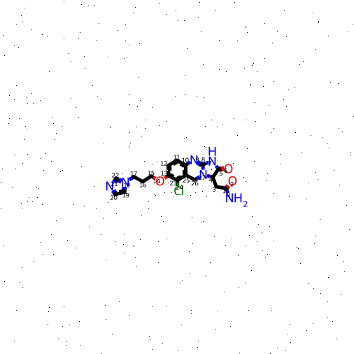 NC(=O)CC1C(=O)NC2=Nc3ccc(OCCCn4ccnc4)c(Cl)c3CN21